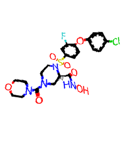 O=C(NO)[C@H]1CN(C(=O)N2CCOCC2)CCN1S(=O)(=O)c1ccc(Oc2ccc(Cl)cc2)c(F)c1